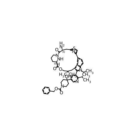 CCn1c(-c2cc(C3(O)CCN(C(=O)OCc4ccccc4)CC3)cnc2C(C)C)c2c3cc(ccc31)-c1csc(n1)C[C@H](N)C(=O)N1CCC[C@H](N1)C(=O)OCC(C)(C)C2